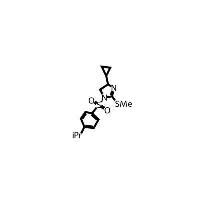 CSC1=NC(C2CC2)CN1S(=O)(=O)c1ccc(C(C)C)cc1